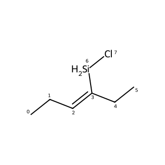 CCC=C(CC)[SiH2]Cl